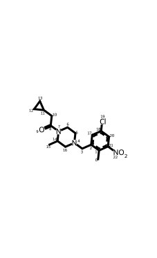 Cc1c(CN2CCN(C(=O)CC3CC3)C(C)C2)cc(Cl)cc1[N+](=O)[O-]